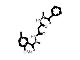 COc1ccc(C)cc1C(=S)N(C)NC(=O)CC(=O)NN(C)C(=S)c1ccccc1